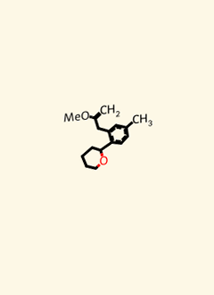 C=C(Cc1cc(C)ccc1C1CCCCO1)OC